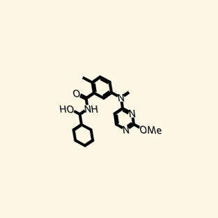 COc1nccc(N(C)c2ccc(C)c(C(=O)NC(O)C3CCCCC3)c2)n1